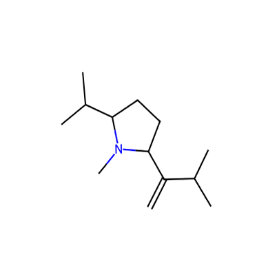 C=C(C(C)C)C1CCC(C(C)C)N1C